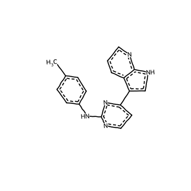 Cc1ccc(Nc2nccc(-c3c[nH]c4ncccc34)n2)cc1